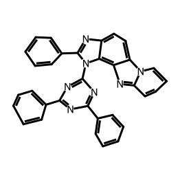 c1ccc(-c2nc(-c3ccccc3)nc(-n3c(-c4ccccc4)nc4ccc5c(nc6ccccn65)c43)n2)cc1